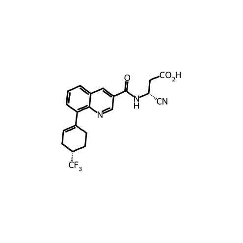 N#C[C@@H](CC(=O)O)NC(=O)c1cnc2c(C3=CC[C@@H](C(F)(F)F)CC3)cccc2c1